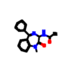 CCC(=O)NC1N=C(c2ccccc2)c2ccccc2N(C)C1=O